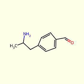 CC(N)Cc1ccc(C=O)cc1